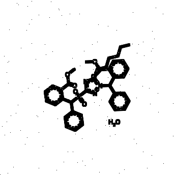 CCCCCCc1nc(S(=O)(=O)C(c2ccccc2)c2ccccc2C(=O)OC)nn1C(c1ccccc1)c1ccccc1C(=O)OC.O